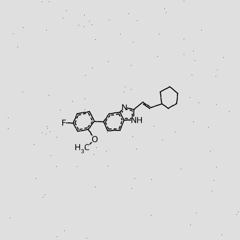 COc1cc(F)ccc1-c1ccc2[nH]c(/C=C/C3CCCCC3)nc2c1